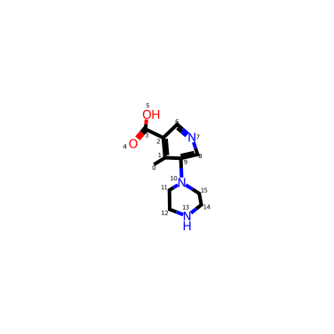 Cc1c(C(=O)O)cncc1N1CCNCC1